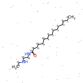 CCCCCCCCCCCCCCCC(=O)NCCNCC